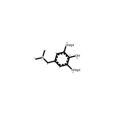 CCCCCCCc1cc(CN(C)C)cc(CCCCCCC)c1O